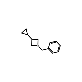 c1ccc(CN2CC(C3CC3)C2)cc1